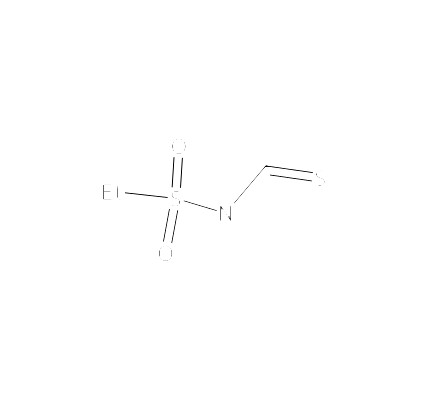 CCS(=O)(=O)[N]C=S